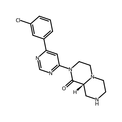 O=C1[C@H]2CNCCN2CCN1c1cc(-c2cccc(Cl)c2)ncn1